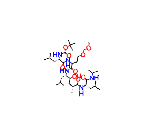 COCOCC[C@H](NC(=O)[C@H](CC(C)C)NC(=O)OC(C)(C)C)C(=O)N[C@@H](CC(C)C)[C@@H](O)C[C@@H](C)C(=O)N[C@@H](CC(C)C)C(=O)NC(C)C